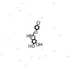 Oc1cc2c(cc1O)CC(COc1ccc(Cl)cc1)NC2